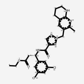 CCOC(=O)C[C@H](NC(=O)c1cnn(Cc2cc3c(nc2C)NCCC3)n1)c1cc(Cl)cc(Cl)c1